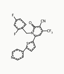 N#Cc1c(C(F)(F)F)cc(-c2ccc(-c3ccncc3)s2)n(Cc2ccc(F)cc2F)c1=O